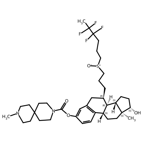 CN1CCC2(CC1)CCN(C(=O)Oc1ccc3c(c1)C[C@@H](CCC[S+]([O-])CCCC(F)(F)C(C)(F)F)[C@@H]1[C@@H]3CC[C@]3(C)[C@@H](O)CC[C@@H]13)CC2